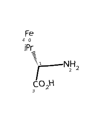 CC(C)[C@H](N)C(=O)O.[Fe]